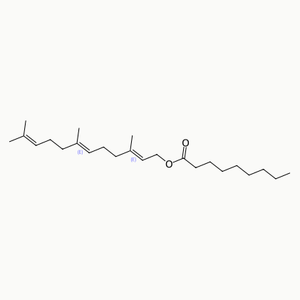 CCCCCCCCC(=O)OC/C=C(\C)CC/C=C(\C)CCC=C(C)C